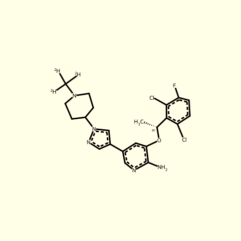 [2H]C([2H])([2H])N1CCC(n2cc(-c3cnc(N)c(O[C@H](C)c4c(Cl)ccc(F)c4Cl)c3)cn2)CC1